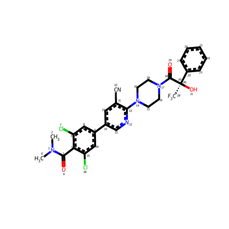 CN(C)C(=O)c1c(Cl)cc(-c2cnc(N3CCN(C(=O)[C@](O)(c4ccccc4)C(F)(F)F)CC3)c(C#N)c2)cc1Cl